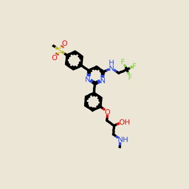 CNCC(O)COc1cccc(-c2nc(NCC(F)(F)F)cc(-c3ccc(S(C)(=O)=O)cc3)n2)c1